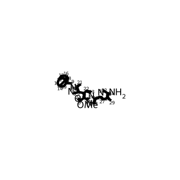 COC(=O)c1c(-c2cnn(CC34CC5CC(CC(C5)C3)C4)c2C)ccn2c(-c3cc(C)c(N)cn3)cnc12